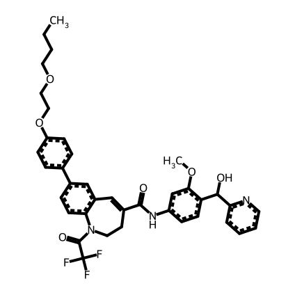 CCCCOCCOc1ccc(-c2ccc3c(c2)C=C(C(=O)Nc2ccc(C(O)c4ccccn4)c(OC)c2)CCN3C(=O)C(F)(F)F)cc1